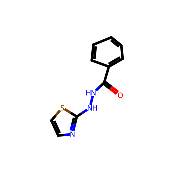 O=C(NNc1nccs1)c1ccccc1